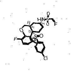 O=S(=O)(CF)N[C@@H]1CC[C@@]2(S(=O)(=O)c3ccc(Cl)cc3)c3c(F)ccc(F)c3OC[C@H]2C1